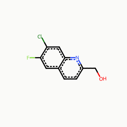 OCc1ccc2cc(F)c(Cl)cc2n1